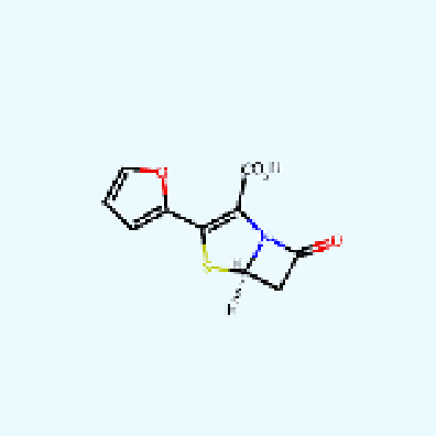 O=C(O)C1=C(c2ccco2)S[C@@H]2CC(=O)N12